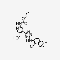 CCCOC(=O)Nc1cc(-c2nnc(Nc3ccc4[nH]ncc4c3Cl)s2)c(CO)cn1